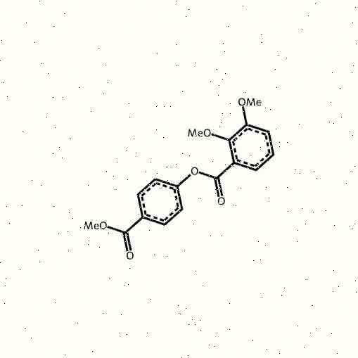 COC(=O)c1ccc(OC(=O)c2cccc(OC)c2OC)cc1